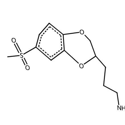 CS(=O)(=O)c1ccc2c(c1)OC(CCCN)CO2